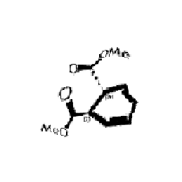 COC(=O)[C@@H]1C=CC=C[C@H]1C(=O)OC